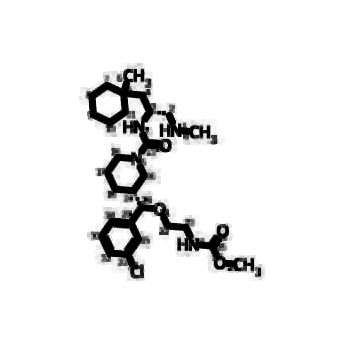 CNC[C@@H](CC1(C)CCCCC1)NC(=O)N1CCC[C@@H](C(OCCNC(=O)OC)c2cccc(Cl)c2)C1